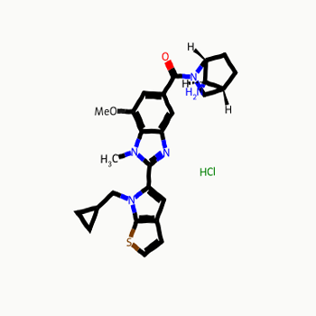 COc1cc(C(=O)N2C[C@H]3CC[C@@H]2[C@@H]3N)cc2nc(-c3cc4ccsc4n3CC3CC3)n(C)c12.Cl